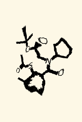 CC(=O)Sc1c(C)cccc1C(=O)N(CC(=O)OC(C)(C)C)C1CCCC1